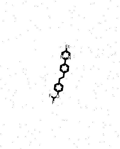 CCc1cnc(-c2ccc(CCc3ccc(OC(F)F)cc3)cc2)nc1